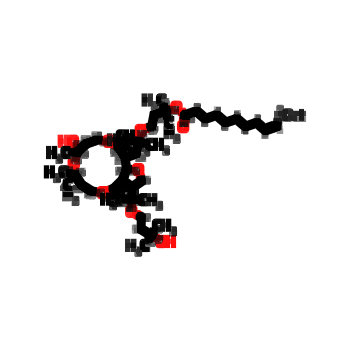 CCCCCCCC/C=C\CCCCCCCC(=O)OC(C)(C)CCOC(C)(C)CC1C2OCC(C(C)(C)OCCC(C)(C)O)C2C(C)(C)OCCC(C)(C)OC(C)(O)CCOC1(C)C